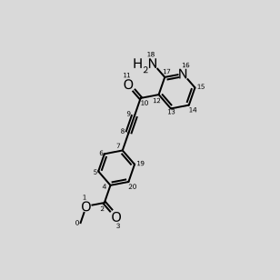 COC(=O)c1ccc(C#CC(=O)c2cccnc2N)cc1